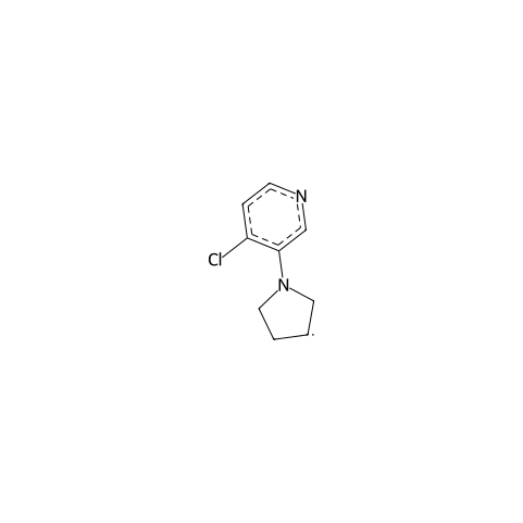 Clc1ccncc1N1C[CH]CC1